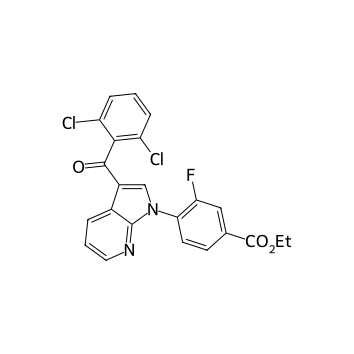 CCOC(=O)c1ccc(-n2cc(C(=O)c3c(Cl)cccc3Cl)c3cccnc32)c(F)c1